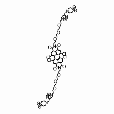 O=C1c2cc(Cl)c3c4c(Cl)cc5c6c(cc(Cl)c(c7c(Cl)cc(c2c37)C(=O)N1CCOCCOCCOCCn1cc(CN2CCS(=O)(=O)CC2)nn1)c64)C(=O)N(CCOCCOCCOCCn1cc(CN2CCS(=O)(=O)CC2)nn1)C5=O